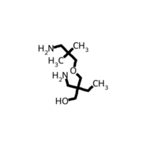 CCC(CN)(CO)COCC(C)(C)CN